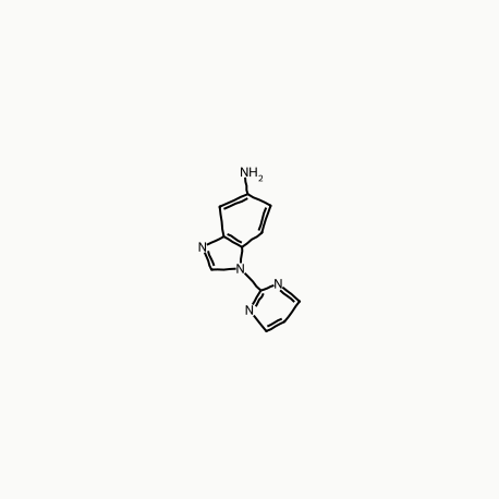 Nc1ccc2c(c1)ncn2-c1ncccn1